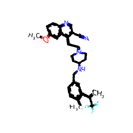 COc1ccc2ncc(C#N)c(CCN3CCC(NCc4ccc(C)c(C(C)C(F)(F)F)c4)CC3)c2c1